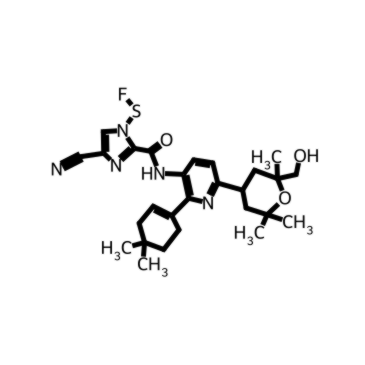 CC1(C)CC=C(c2nc(C3CC(C)(C)OC(C)(CO)C3)ccc2NC(=O)c2nc(C#N)cn2SF)CC1